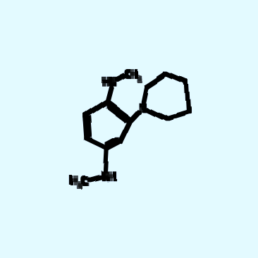 CNc1ccc(NC)c(N2CCCCC2)c1